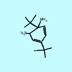 CC(C)(C)C1=CC(N)C(N)(C(C)(C)C)C=C1